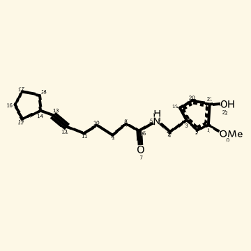 COc1cc(CNC(=O)CCCCC#CC2CCCC2)ccc1O